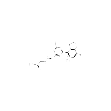 NC(=O)CCCSc1nc(N)nc(-c2c(Cl)cc(Cl)c3c2CCO3)n1